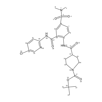 CN(C)S(=O)(=O)c1ccc(NC(=O)C2CCN(C(=O)OC(C)(C)C)CC2)c(C(=O)Nc2ccc(Cl)cn2)c1